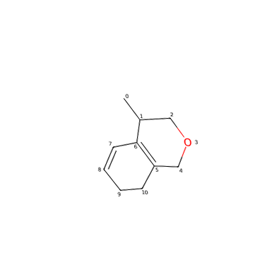 CC1COCC2=C1C=CCC2